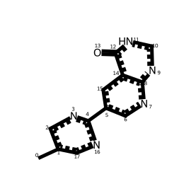 Cc1cnc(-c2cnc3nc[nH]c(=O)c3c2)nc1